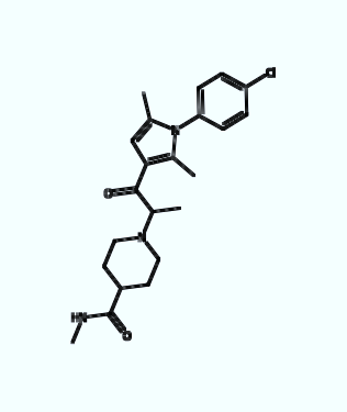 CNC(=O)C1CCN(C(C)C(=O)c2cc(C)n(-c3ccc(Cl)cc3)c2C)CC1